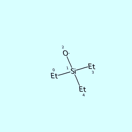 CC[Si]([O])(CC)CC